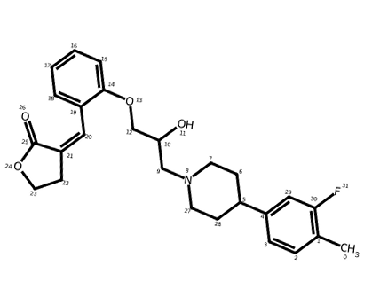 Cc1ccc(C2CCN(CC(O)COc3ccccc3C=C3CCOC3=O)CC2)cc1F